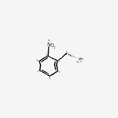 [CH2][C@@H](C)Cc1ccccc1[N+](=O)[O-]